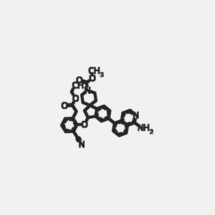 CCOC(=O)Cc1cccc(C#N)c1OC1CC2(CCN(C(=O)OC)CC2)c2ccc(-c3cccc4c(N)nccc34)cc21